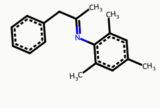 CC(Cc1ccccc1)=Nc1c(C)cc(C)cc1C